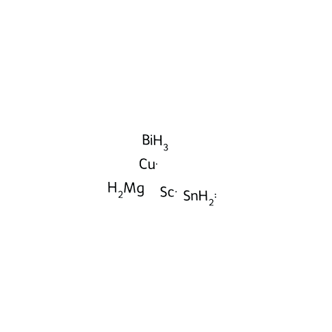 [BiH3].[Cu].[MgH2].[Sc].[SnH2]